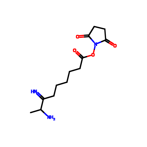 CC(N)C(=N)CCCCCC(=O)ON1C(=O)CCC1=O